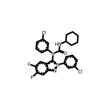 O=C(NC1CCCCC1)N(c1cccc(Cl)c1)c1c2cc(F)c(F)cc2nn1-c1cccc(Cl)c1